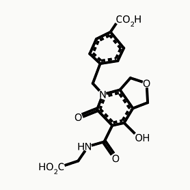 O=C(O)CNC(=O)c1c(O)c2c(n(Cc3ccc(C(=O)O)cc3)c1=O)COC2